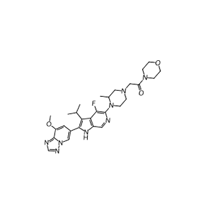 COc1cc(-c2[nH]c3cnc(N4CCN(CC(=O)N5CCOCC5)CC4C)c(F)c3c2C(C)C)cn2ncnc12